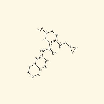 CN1CCC(NCC2CC2)=C(C(=N)NC2=CC3CCCCC3C=C2)C1